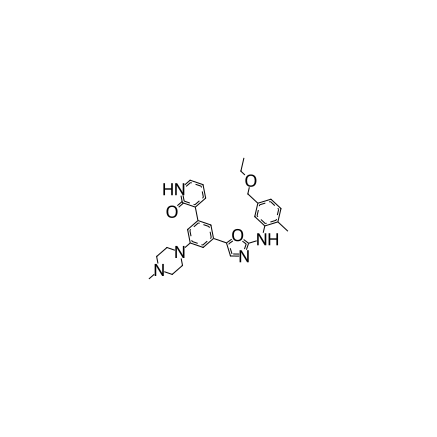 CCOCc1ccc(C)c(Nc2ncc(-c3cc(-c4ccc[nH]c4=O)cc(N4CCN(C)CC4)c3)o2)c1